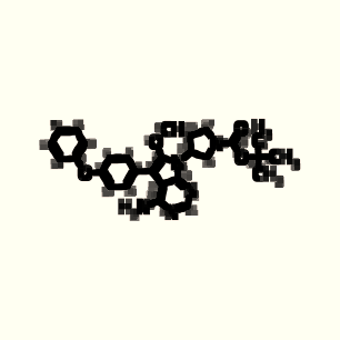 COc1c(-c2ccc(Oc3ccccc3)cc2)c2c(N)ncnc2n1C1CCN(C(=O)OC(C)(C)C)C1